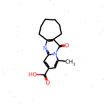 Cc1cc(C(=O)O)cc2nc3c(c(=O)n12)CCCCCC3